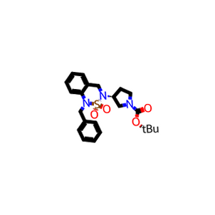 CC(C)(C)OC(=O)N1CC[C@@H](N2Cc3ccccc3N(Cc3ccccc3)S2(=O)=O)C1